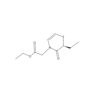 CCOC(=O)CN1C=CS[C@@H](CC)C1=O